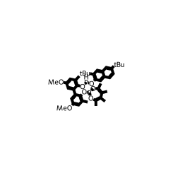 COc1cc(C)c(OPOc2cc3ccc(C(C)(C)C)cc3cc2C(C)(C)C)c(-c2cc(OC)cc(C)c2Op2oc(C)c(C)c(C)c(C)o2)c1